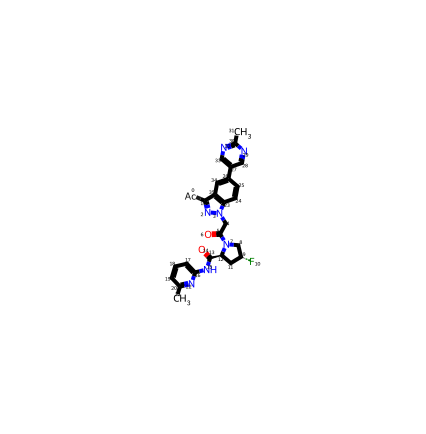 CC(=O)c1nn(CC(=O)N2C[C@H](F)C[C@H]2C(=O)Nc2cccc(C)n2)c2ccc(-c3cnc(C)nc3)cc12